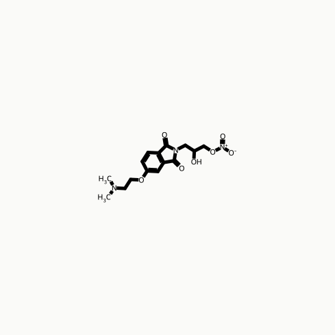 CN(C)CCOc1ccc2c(c1)C(=O)N(CC(O)CO[N+](=O)[O-])C2=O